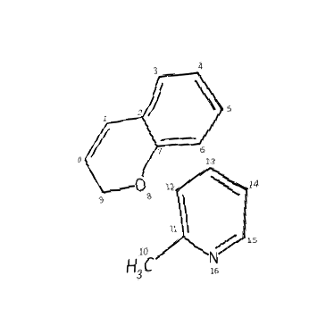 C1=Cc2ccccc2OC1.Cc1ccccn1